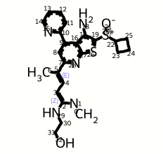 C=N/C(=C\C=C(/C)c1cc(-c2ccccn2)c2c(N)c([S@+]([O-])C3CCC3)sc2n1)NCCO